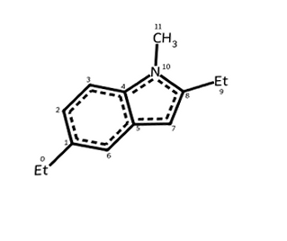 CCc1ccc2c(c1)cc(CC)n2C